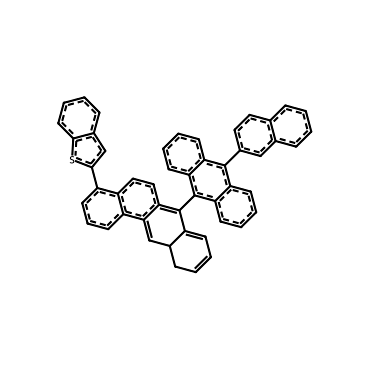 C1=CCC2C=c3c(ccc4c(-c5cc6ccccc6s5)cccc34)=C(c3c4ccccc4c(-c4ccc5ccccc5c4)c4ccccc34)C2=C1